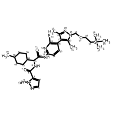 CCCn1nccc1C(=O)N[C@H](C(=O)Nc1ccc(-c2c(C)nn(COCC[Si](C)(C)C)c2C)c(F)n1)C1CCC(C)CC1